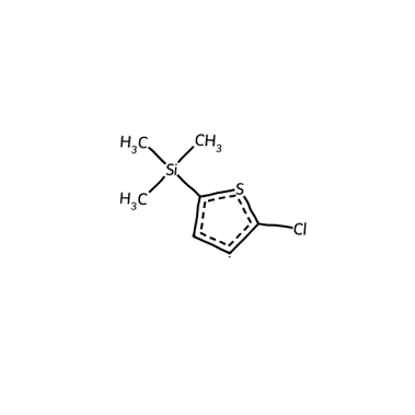 C[Si](C)(C)c1c[c]c(Cl)s1